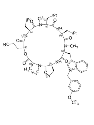 CC(C)C[C@@H]1NC(=O)[C@H](Cc2cn(Cc3cccc(OC(F)(F)F)c3)c3ccccc23)N(C)C(=O)[C@H](CC(C)C)NC(=O)[C@H](CC(C)C)N(C)C(=O)[C@H](CC(C)C)NC(=O)[C@@H](CCC#N)OC(=O)[C@H](C)N(C)C1=O